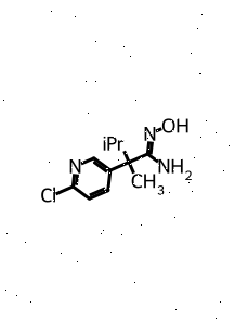 CC(C)C(C)(/C(N)=N/O)c1ccc(Cl)nc1